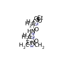 C=C/C=C\C(=C)N(CC)C(=O)/C(C=C)=C/C(C)=C/NC(=O)CC(=C)/C=C\C(=C)S(=O)(=O)CC